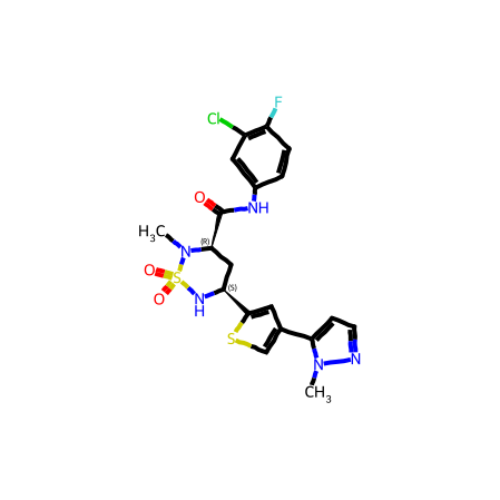 CN1[C@@H](C(=O)Nc2ccc(F)c(Cl)c2)C[C@@H](c2cc(-c3ccnn3C)cs2)NS1(=O)=O